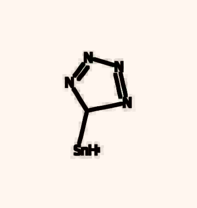 [SnH][CH]1N=NN=N1